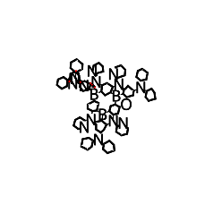 c1ccc(N(c2ccccc2)c2cc3c4c(c2)N(c2ccccn2)c2cc5c(cc2B4c2cc4c(cc2O3)N(c2ccccn2)c2cc(N(c3ccccc3)c3ccccc3)cc3c2B4c2ccccc2N3c2ccccn2)B2c3ccccc3N(c3ccccn3)c3cc(N(c4ccccc4)c4ccccc4)cc(c32)N5c2ccccn2)cc1